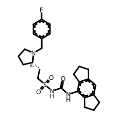 O=C(Nc1c2c(cc3c1CCC3)CCC2)NS(=O)(=O)CC[C@@H]1CCCN1Cc1ccc(F)cc1